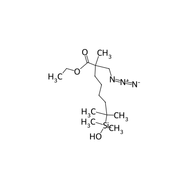 CCOC(=O)C(C)(CCCCC(C)(C)[Si](C)(C)O)CN=[N+]=[N-]